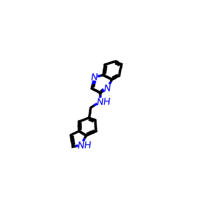 c1ccc2nc(NCc3ccc4[nH]ccc4c3)cnc2c1